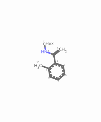 C=C(NCCCCCC)c1ccccc1C